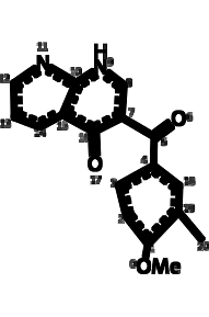 COc1ccc(C(=O)c2c[nH]c3ncccc3c2=O)cc1C